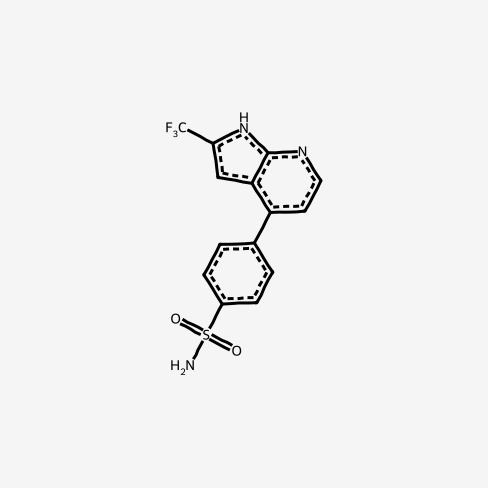 NS(=O)(=O)c1ccc(-c2ccnc3[nH]c(C(F)(F)F)cc23)cc1